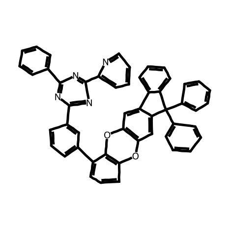 c1ccc(-c2nc(-c3cccc(-c4cccc5c4Oc4cc6c(cc4O5)C(c4ccccc4)(c4ccccc4)c4ccccc4-6)c3)nc(-c3ccccn3)n2)cc1